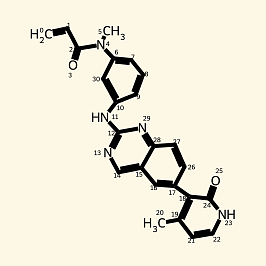 C=CC(=O)N(C)c1cccc(Nc2ncc3cc(-c4c(C)cc[nH]c4=O)ccc3n2)c1